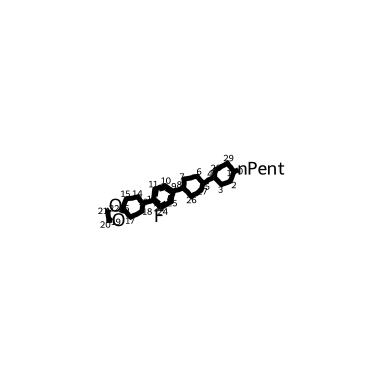 CCCCCC1CCC(C2CCC(c3ccc(C4CCC5(CC4)OCCO5)c(F)c3)CC2)CC1